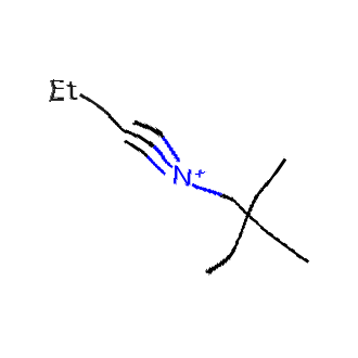 CCC#[N+]C(C)(C)C